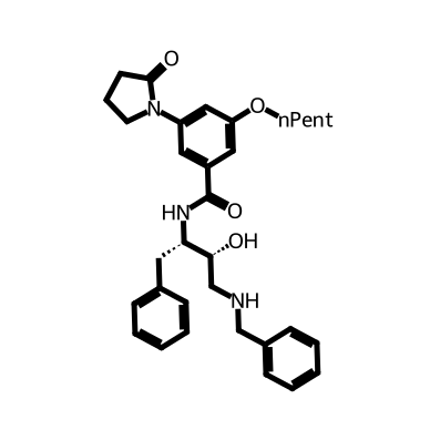 CCCCCOc1cc(C(=O)N[C@@H](Cc2ccccc2)[C@H](O)CNCc2ccccc2)cc(N2CCCC2=O)c1